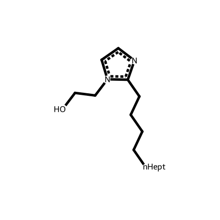 CCCCCCCCCCCc1nccn1CCO